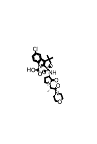 C[C@@H](C(=O)N1CCOCC1)N1CC[C@H](NS(=O)(=O)c2c(C(C)(C)C)c3cc(Cl)ccc3n2C(=O)O)C1=O